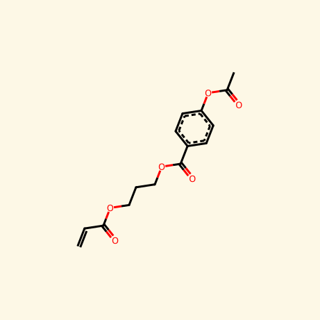 C=CC(=O)OCCCOC(=O)c1ccc(OC(C)=O)cc1